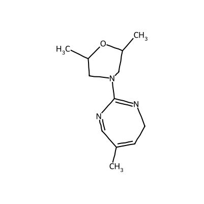 CC1=CCN=C(N2CC(C)OC(C)C2)N=C1